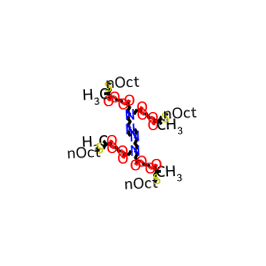 CCCCCCCCSCC(C)C(=O)OCCOC(=O)CCN(CCCN1CCN(CCCN(CCC(=O)OCCOC(=O)C(C)CSCCCCCCCC)CCC(=O)OCCOC(=O)C(C)CSCCCCCCCC)CC1)CCC(=O)OCCOC(=O)C(C)CSCCCCCCCC